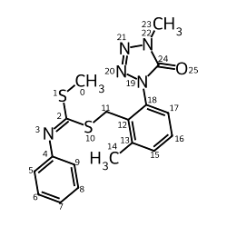 CSC(=Nc1ccccc1)SCc1c(C)cccc1-n1nnn(C)c1=O